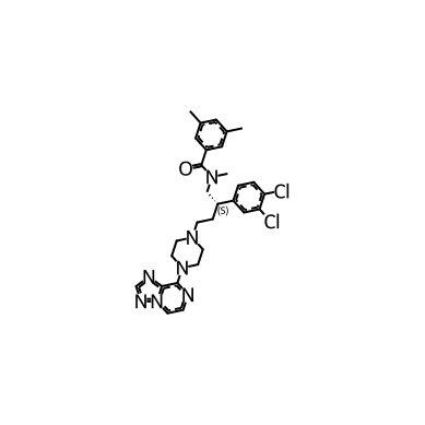 Cc1cc(C)cc(C(=O)N(C)C[C@@H](CCN2CCN(c3nccn4ncnc34)CC2)c2ccc(Cl)c(Cl)c2)c1